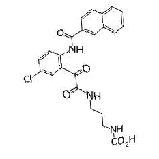 O=C(O)NCCCNC(=O)C(=O)c1cc(Cl)ccc1NC(=O)c1ccc2ccccc2c1